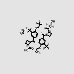 CCOc1ccc(C(=S)N2CC[C@@H]2C(=O)O)cc1C(F)(F)F.NO.NO.O=C(O)[C@H]1CCN1C(=S)c1ccc(OCC(F)(F)F)c(C(F)(F)F)c1